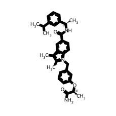 Cc1c(C)n(Cc2cccc(O[C@@H](C)C(N)=O)c2)c2ccc(C(=O)N[C@@H](C)c3cccc(C(C)C)c3)cc12